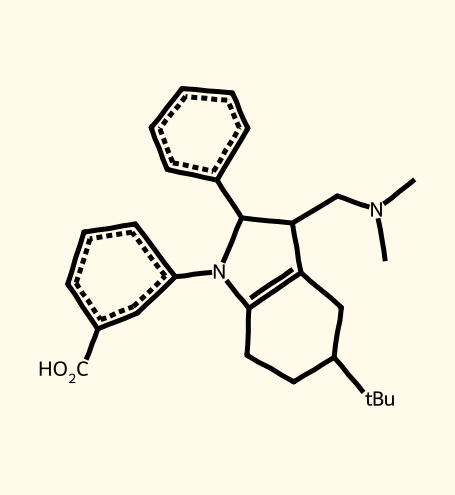 CN(C)CC1C2=C(CCC(C(C)(C)C)C2)N(c2cccc(C(=O)O)c2)C1c1ccccc1